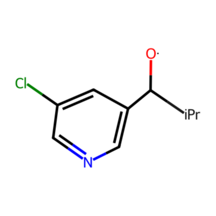 CC(C)C([O])c1cncc(Cl)c1